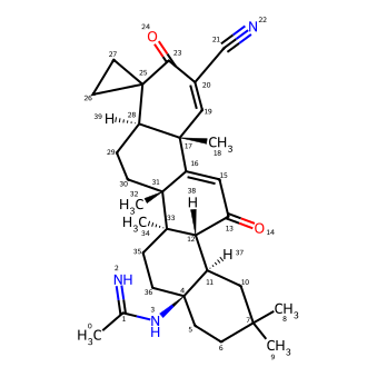 CC(=N)N[C@]12CCC(C)(C)C[C@@H]1[C@H]1C(=O)C=C3[C@@]4(C)C=C(C#N)C(=O)C5(CC5)[C@@H]4CC[C@@]3(C)[C@]1(C)CC2